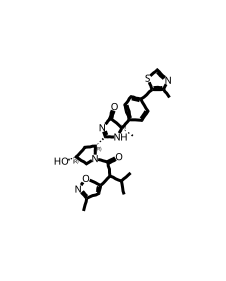 Cc1cc(C(C(=O)N2C[C@H](O)C[C@@H]2C2=NC(=O)[C@@](C)(c3ccc(-c4scnc4C)cc3)N2)C(C)C)on1